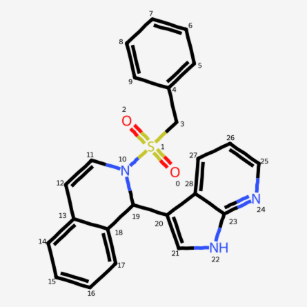 O=S(=O)(Cc1ccccc1)N1C=Cc2ccccc2C1c1c[nH]c2ncccc12